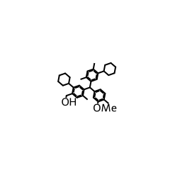 COc1cc(C(c2cc(C3CCCCC3)c(C)cc2C)c2cc(C3CCCCC3)c(CO)cc2C)ccc1C